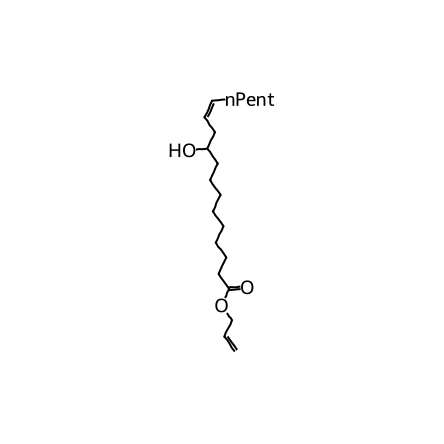 C=CCOC(=O)CCCCCCCCC(O)C/C=C\CCCCC